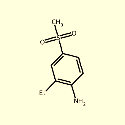 CCc1cc(S(C)(=O)=O)ccc1N